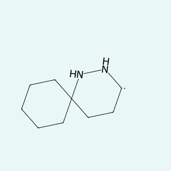 [CH]1CCC2(CCCCC2)NN1